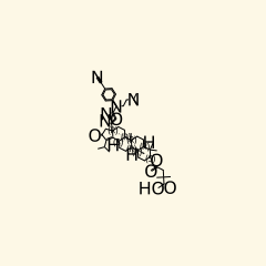 CC(C)C1=C2[C@H]3CC[C@@H]4[C@@]5(C)CC[C@H](OC(=O)CC(C)(C)C(=O)O)C(C)(C)[C@@H]5CC[C@@]4(C)[C@]3(C)CC[C@@]2(c2nnc(N(CCN(C)C)c3ccc(C#N)cc3)o2)CC1=O